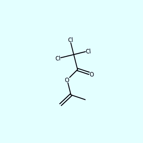 C=C(C)OC(=O)C(Cl)(Cl)Cl